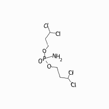 NP(=O)(OCCC(Cl)Cl)OCCC(Cl)Cl